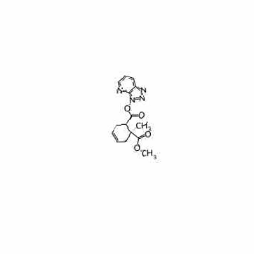 COC(=O)[C@@]1(C)CC=CC[C@H]1C(=O)On1nnc2cccnc21